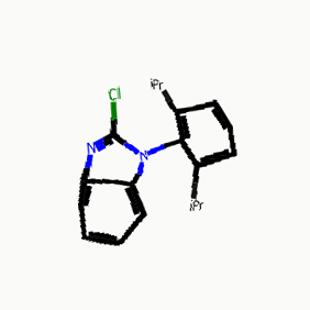 CC(C)c1cccc(C(C)C)c1-n1c(Cl)nc2ccccc21